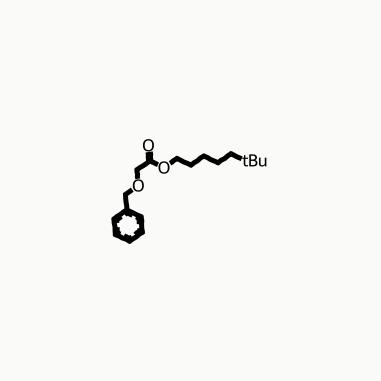 CC(C)(C)CCCCCOC(=O)COCc1ccccc1